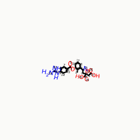 Cc1c(OC(=O)c2ccc(NC(=N)N)cc2)cccc1C1=NOC(CC(=O)O)(C(=O)O)C1